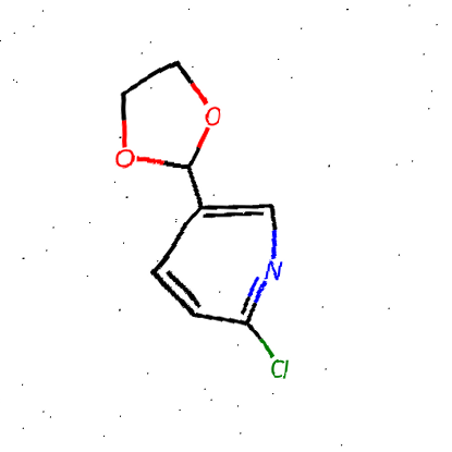 Clc1ccc(C2OCCO2)cn1